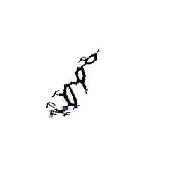 Cc1ccc(-c2ccc(CCc3cc(F)c(/C=C/C(F)(F)F)c(F)c3)c(F)c2)c(F)c1